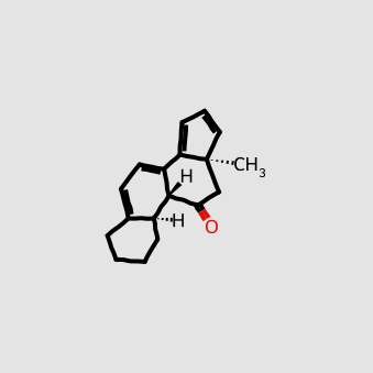 C[C@@]12C=CC=C1C1=CC=C3CCCC[C@@H]3[C@H]1C(=O)C2